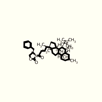 CC[C@H]1[C@@H](O[Si](C)(C)C)[C@@H]2[C@H](CC[C@]3(C)[C@@H]([C@H](C)CCC(=O)N4C(=O)OC[C@H]4Cc4ccccc4)CC[C@@H]23)[C@@]2(C)CC[C@@H](C)C[C@@H]12